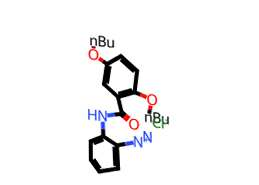 CCCCOc1ccc(OCCCC)c(C(=O)Nc2ccccc2[N+]#N)c1.[Cl-]